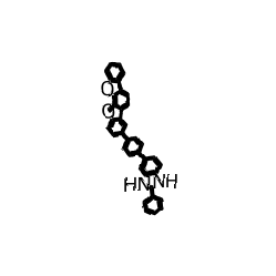 c1ccc(C2Nc3ccc(-c4ccc(-c5ccc6oc7c(ccc8c9ccccc9oc87)c6c5)cc4)cc3N2)cc1